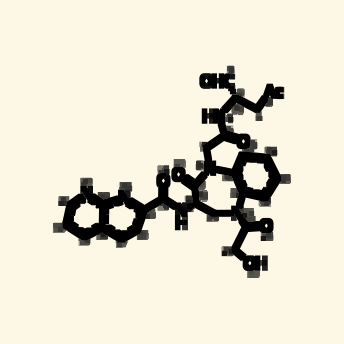 CC(=O)C[C@@H](C=O)NC(=O)CN1C(=O)[C@@H](NC(=O)c2ccc3cccnc3n2)CN(C(=O)CO)c2ccccc21